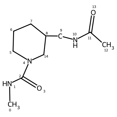 CNC(=O)N1CCCC(CNC(C)=O)C1